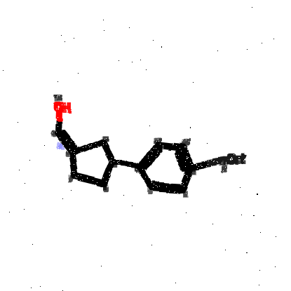 CCCCCCCCc1ccc(C2CC/C(=C/O)C2)cc1